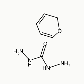 C1=CCOC=C1.NNC(=O)NN